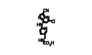 N#Cc1cnn2c(Nc3ccc(CNC(=O)O)cn3)cc(Cl)nc12